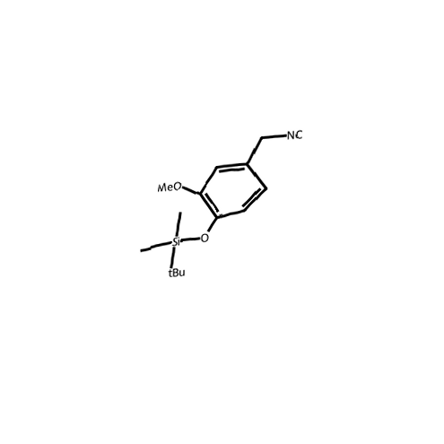 [C-]#[N+]Cc1ccc(O[Si](C)(C)C(C)(C)C)c(OC)c1